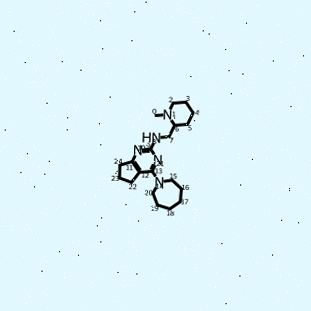 CN1CCCCC1CNc1nc2c(c(N3CCCCCC3)n1)CCC2